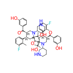 Cc1c(F)cccc1[C@@H]1C[C@](C(=O)[C@]2(C(C)(C)O)C[C@@H](c3cccc(F)c3C)[C@@H](C(=O)c3cccc(O)c3)CN2C2CCCNC2)(C(C)(C)O)N(C2CCCNC2)C[C@@H]1C(=O)c1cccc(O)c1